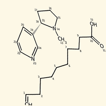 C=CCCCCCCCCC(=O)O.CN1CCC[C@H]1c1cccnc1